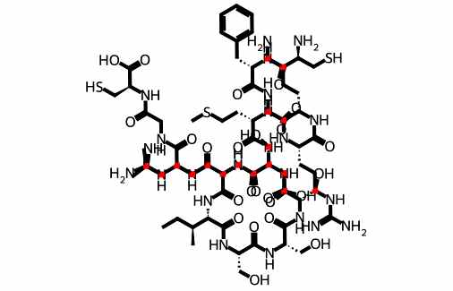 CC[C@H](C)[C@H](NC(=O)[C@H](CCCNC(=N)N)NC(=O)[C@H](CC(=O)O)NC(=O)[C@H](CCSC)NC(=O)[C@H](CCCCN)NC(=O)[C@H](CCCNC(=N)N)NC(=O)CNC(=O)[C@H](Cc1ccccc1)NC(=O)[C@@H](N)CS)C(=O)N[C@@H](CO)C(=O)N[C@@H](CO)C(=O)N[C@@H](CO)C(=O)N[C@@H](CO)C(=O)NCC(=O)N[C@@H](CC(C)C)C(=O)NCC(=O)N[C@@H](CS)C(=O)O